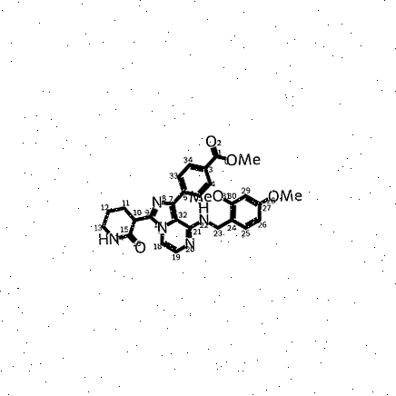 COC(=O)c1ccc(-c2nc(C3CCCNC3=O)n3ccnc(NCc4ccc(OC)cc4OC)c23)cc1